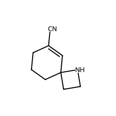 N#CC1=CC2(CCC1)CCN2